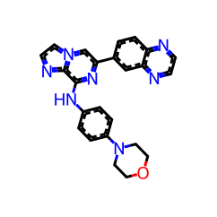 c1cnc2cc(-c3cn4ccnc4c(Nc4ccc(N5CCOCC5)cc4)n3)ccc2n1